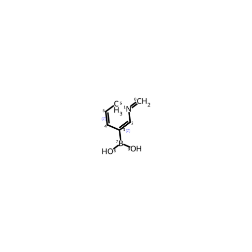 C=N/C=C(\C=C/C)B(O)O